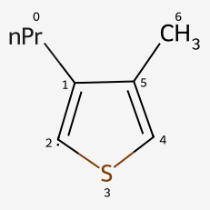 CCCc1[c]scc1C